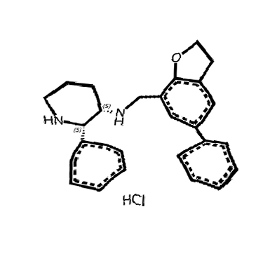 Cl.c1ccc(-c2cc3c(c(CN[C@H]4CCCN[C@H]4c4ccccc4)c2)OCC3)cc1